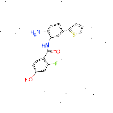 Nc1ccc(-c2cccs2)cc1NC(=O)c1ccc(O)cc1F